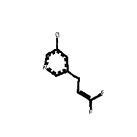 FC(F)=CCc1cncc(Cl)c1